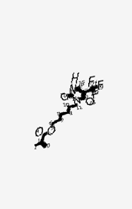 C=C(C)C(=O)OCCCCCCn1c(=O)[nH]cc(C(F)(F)F)c1=O